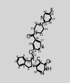 Cc1c(N2Cc3ccccc3C2COc2cncc(C(=O)N3CCN(c4ccc(F)cn4)CC3)c2)cn[nH]c1=O